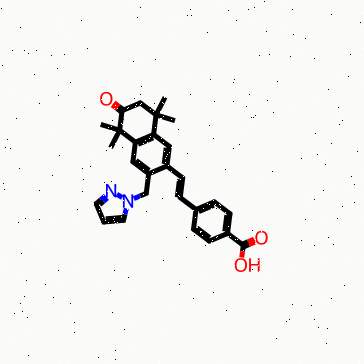 CC1(C)CC(=O)C(C)(C)c2cc(Cn3cccn3)c(/C=C/c3ccc(C(=O)O)cc3)cc21